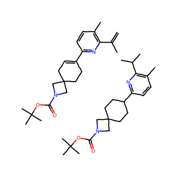 C=C(C)c1nc(C2=CCC3(CC2)CN(C(=O)OC(C)(C)C)C3)ccc1C.Cc1ccc(C2CCC3(CC2)CN(C(=O)OC(C)(C)C)C3)nc1C(C)C